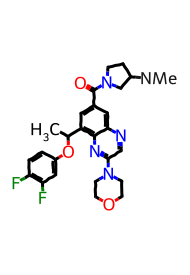 CNC1CCN(C(=O)c2cc(C(C)Oc3ccc(F)c(F)c3)c3nc(N4CCOCC4)cnc3c2)C1